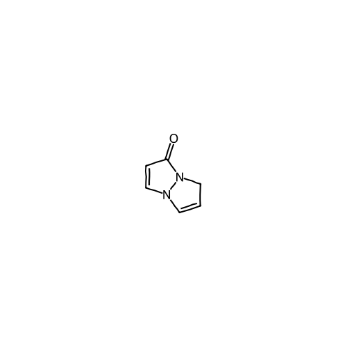 O=c1ccn2n1CC=C2